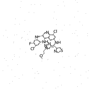 COCCn1cc([C@@H](Nc2cc(Cl)c3ncc(C#N)c(Nc4ccc(F)c(Cl)c4)c3c2)c2cscn2)nn1